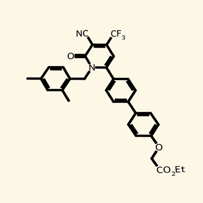 CCOC(=O)COc1ccc(-c2ccc(-c3cc(C(F)(F)F)c(C#N)c(=O)n3Cc3ccc(C)cc3C)cc2)cc1